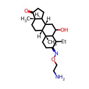 CCC1C(=NOCCN)CC[C@@]2(C)C1C(O)C[C@@H]1[C@H]2CC[C@]2(C)C(=O)CC[C@@H]12